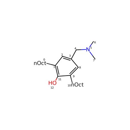 CCCCCCCCc1cc(CN(C)C)cc(CCCCCCCC)c1O